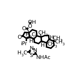 CC(=O)Nc1nnc(C)s1.CC(C)C1=C2[C@H]3CC[C@@H]4[C@@]5(C)CCCC(C)(C)[C@@H]5CC[C@@]4(C)[C@]3(C)CC[C@@]2(C(=O)OO)CC1=O